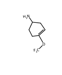 NC1CC=C(OC(F)(F)F)CC1